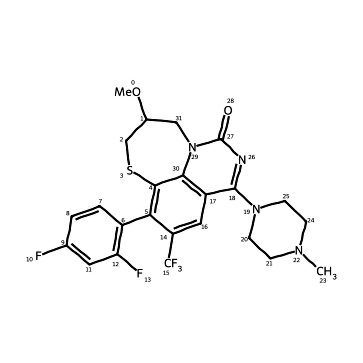 COC1CSc2c(-c3ccc(F)cc3F)c(C(F)(F)F)cc3c(N4CCN(C)CC4)nc(=O)n(c23)C1